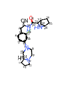 N#C[C@H](Cc1ccc(N2CCN3CCC[C@H]3C2)cc1F)NC(=O)C1NC2CCC1C2